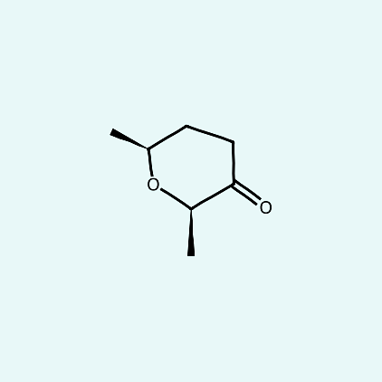 C[C@H]1CCC(=O)[C@@H](C)O1